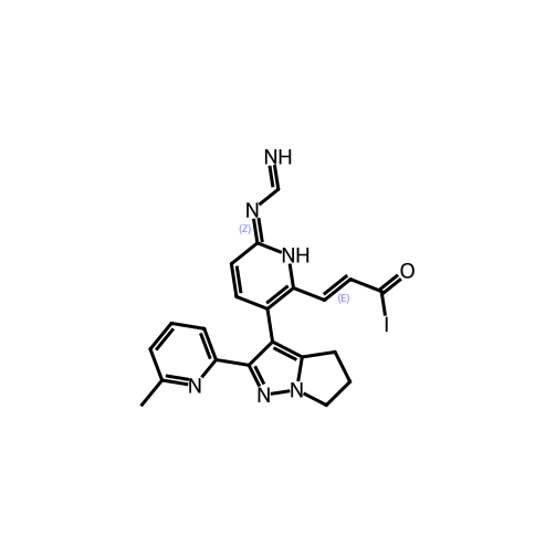 Cc1cccc(-c2nn3c(c2-c2cc/c(=N/C=N)[nH]c2/C=C/C(=O)I)CCC3)n1